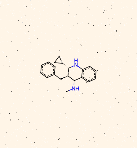 CN[C@H]1c2ccccc2N[C@@H](C2CC2)[C@@H]1Cc1ccccc1